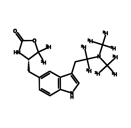 [2H]C1([2H])OC(=O)N[C@H]1Cc1ccc2[nH]cc(CC([2H])([2H])N(C([2H])([2H])[2H])C([2H])([2H])[2H])c2c1